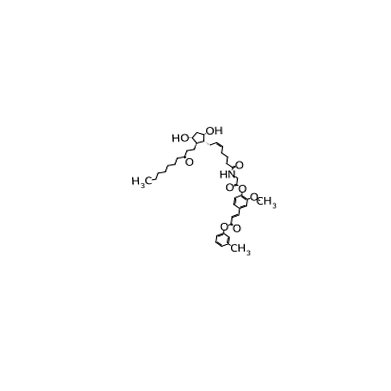 CCCCCCCC(=O)CC[C@@H]1[C@@H](C/C=C\CCCC(=O)NCC(=O)Oc2ccc(/C=C/C(=O)Oc3cccc(C)c3)cc2OC)[C@@H](O)C[C@H]1O